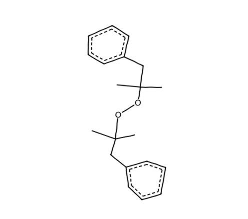 CC(C)(Cc1ccccc1)OOC(C)(C)Cc1ccccc1